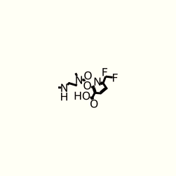 CNCCN(C)C(=O)Oc1nc(C(F)F)ccc1C(=O)O